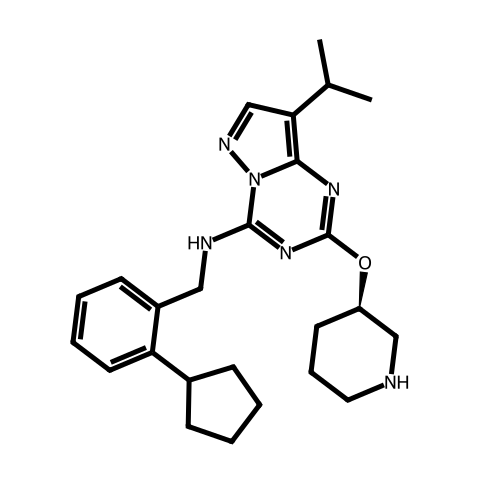 CC(C)c1cnn2c(NCc3ccccc3C3CCCC3)nc(O[C@@H]3CCCNC3)nc12